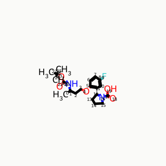 CC(CCOc1ccc(F)cc1[C@H]1CCCN1C(=O)O)NC(=O)OC(C)(C)C